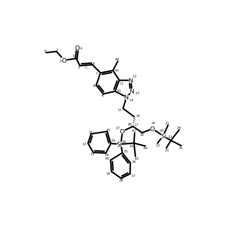 CCOC(=O)/C=C/c1ccc2c(nnn2CC[C@H](CO[Si](C)(C)C(C)(C)C)O[Si](c2ccccc2)(c2ccccc2)C(C)(C)C)c1C